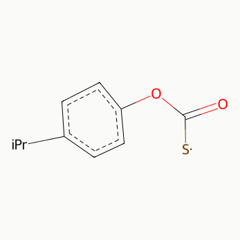 CC(C)c1ccc(OC(=O)[S])cc1